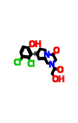 O=C(CO)N1CC(=O)N2CC[C@@H](c3c(O)ccc(Cl)c3Cl)C=C2C1